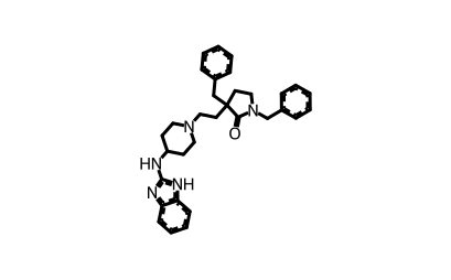 O=C1N(Cc2ccccc2)CCC1(CCN1CCC(Nc2nc3ccccc3[nH]2)CC1)Cc1ccccc1